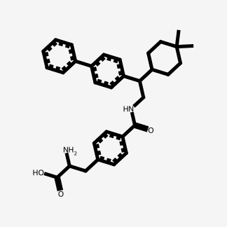 CC1(C)CCC(C(CNC(=O)c2ccc(CC(N)C(=O)O)cc2)c2ccc(-c3ccccc3)cc2)CC1